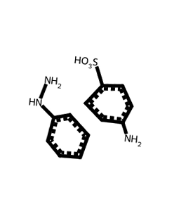 NNc1ccccc1.Nc1ccc(S(=O)(=O)O)cc1